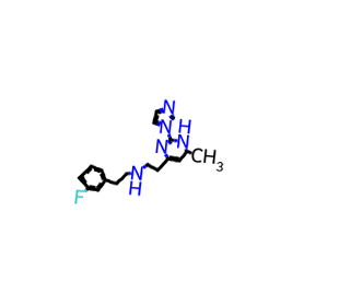 CC1C=C(CCNCCc2cccc(F)c2)N=C(n2ccnc2)N1